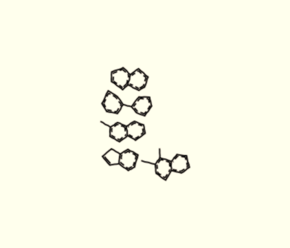 C1=Cc2ccccc2C1.Cc1ccc2ccccc2c1.Cc1ccc2ccccc2c1C.c1ccc(-c2ccccc2)cc1.c1ccc2ccccc2c1